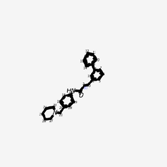 O=C(/C=C/c1cccc(-c2ccccc2)c1)Nc1ccc(CN2CCCCC2)cc1